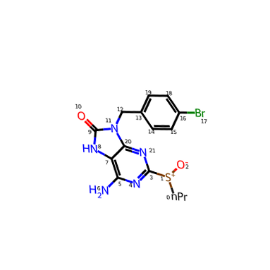 CCC[S+]([O-])c1nc(N)c2[nH]c(=O)n(Cc3ccc(Br)cc3)c2n1